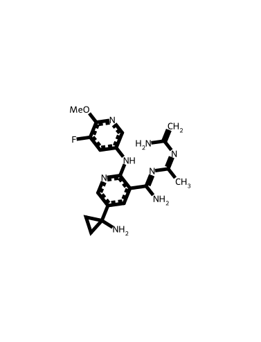 C=C(N)/N=C(C)\N=C(/N)c1cc(C2(N)CC2)cnc1Nc1cnc(OC)c(F)c1